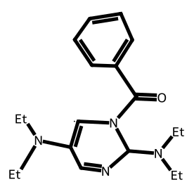 CCN(CC)C1=[C]N(C(=O)c2ccccc2)C(N(CC)CC)N=C1